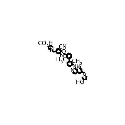 Cc1c(Nc2nccc3cc(CN4CC[C@H](O)C4)cnc23)cccc1-c1cccc(-c2nc3cc(CN4CC[C@H](C(=O)O)C4)cc(C#N)c3o2)c1C